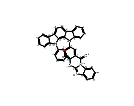 O=c1c2cc(-n3c4ccccc4c4ccc5c6ccccc6n(-c6ccccc6)c5c43)ccc2sc2nc3ccccc3n12